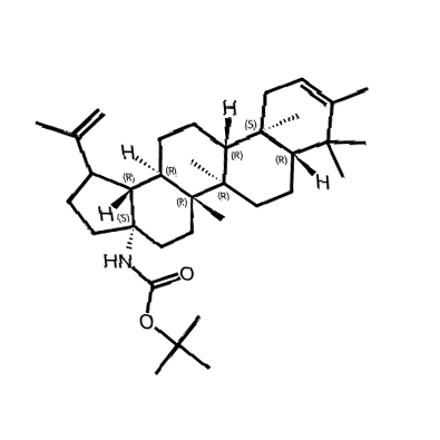 C=C(C)C1CC[C@]2(NC(=O)OC(C)(C)C)CC[C@]3(C)[C@H](CC[C@@H]4[C@@]5(C)CC=C(C)C(C)(C)[C@@H]5CC[C@]43C)[C@@H]12